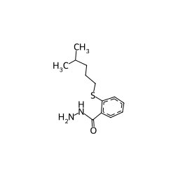 CC(C)CCCSc1ccccc1C(=O)NN